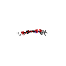 C=C(C)C(=O)CCNC(=O)OCCCCCCOc1ccc(C=CC(=O)OC)cc1